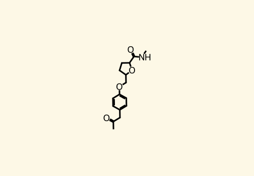 CNC(=O)C1CCC(COc2ccc(CC(C)=O)cc2)O1